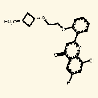 O=c1cc(-c2ccccc2OCCO[C@H]2C[C@H](C(=O)O)C2)oc2c(Cl)cc(F)cc12